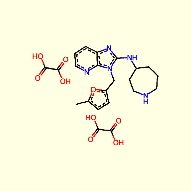 Cc1ccc(Cn2c(NC3CCCNCC3)nc3cccnc32)o1.O=C(O)C(=O)O.O=C(O)C(=O)O